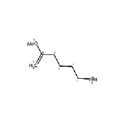 C=C(CCCCCCCC)OC